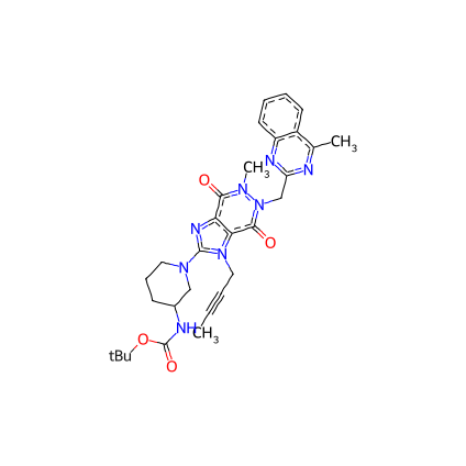 CC#CCn1c(N2CCCC(NC(=O)OC(C)(C)C)C2)nc2c(=O)n(C)n(Cc3nc(C)c4ccccc4n3)c(=O)c21